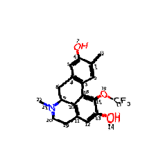 Cc1cc2c(cc1O)CC1c3c(cc(O)c(OC(F)(F)F)c3-2)CCN1C